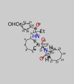 CCC(C)(N[C@H]1CCCCCC[C@H]1C(=O)C(C)(C)N1C(=O)[C@@H]2CCCCCC[C@@H]21)C(=O)c1ccc(C=O)cc1